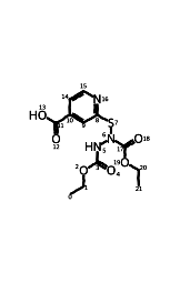 CCOC(=O)NN(Sc1cc(C(=O)O)ccn1)C(=O)OCC